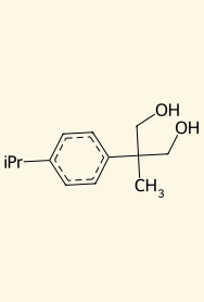 CC(C)c1ccc(C(C)(CO)CO)cc1